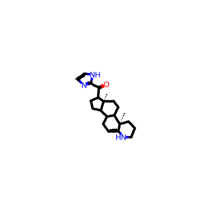 C[C@]12CCC3C(CC=C4NCCC[C@@]43C)C1CCC2C(=O)c1ncc[nH]1